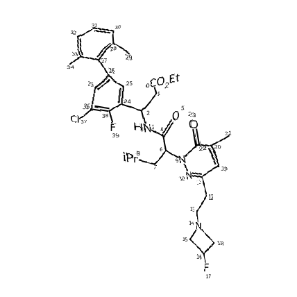 CCOC(=O)CC(NC(=O)C(CC(C)C)n1nc(CCN2CC(F)C2)cc(C)c1=O)c1cc(-c2c(C)cccc2C)cc(Cl)c1F